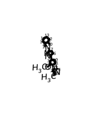 COc1cc(-c2ccc(N3Cc4ccccc4C3)nn2)ccc1-n1cnc(C)c1